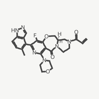 C=CC(=O)N1CCN2C(=O)c3c(N4CCOCC4)nc(-c4c(C)ccc5[nH]ncc45)c(F)c3OC[C@H]2C1